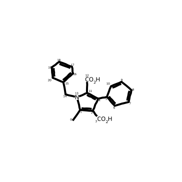 Cc1c(C(=O)O)c(-c2ccccc2)c(C(=O)O)n1Cc1ccccc1